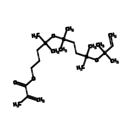 C=C[Si](C)(C)O[Si](C)(C)CC[Si](C)(C)O[Si](C)(C)CCCOC(=O)C(=C)C